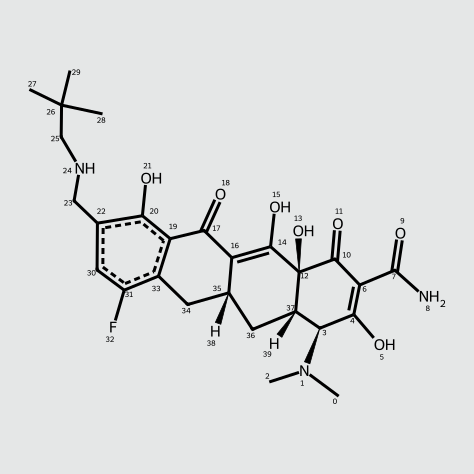 CN(C)[C@@H]1C(O)=C(C(N)=O)C(=O)[C@@]2(O)C(O)=C3C(=O)c4c(O)c(CNCC(C)(C)C)cc(F)c4C[C@H]3C[C@@H]12